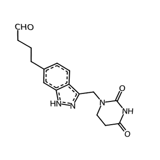 O=CCCCc1ccc2c(CN3CCC(=O)NC3=O)n[nH]c2c1